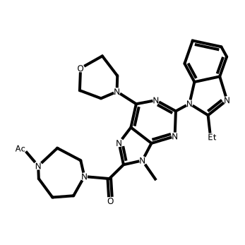 CCc1nc2ccccc2n1-c1nc(N2CCOCC2)c2nc(C(=O)N3CCCN(C(C)=O)CC3)n(C)c2n1